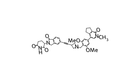 COc1cc(-c2cn(C)c(=O)c3c2CCC3)cc(OC)c1CN1CC(C#Cc2ccc3c(c2)CN(C2CCC(=O)NC2=O)C3=O)C1